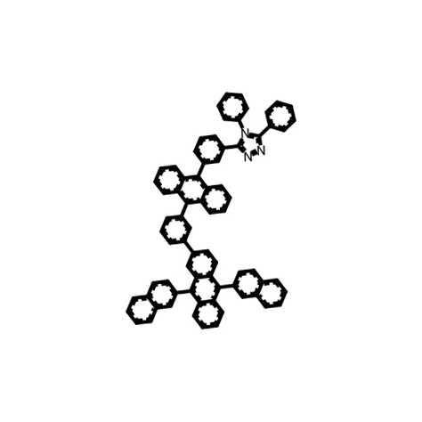 c1ccc(-c2nnc(-c3cccc(-c4c5ccccc5c(-c5cccc(-c6ccc7c(-c8ccc9ccccc9c8)c8ccccc8c(-c8ccc9ccccc9c8)c7c6)c5)c5ccccc45)c3)n2-c2ccccc2)cc1